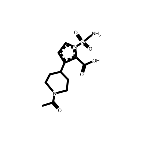 CC(=O)N1CCC(c2ccn(S(N)(=O)=O)c2C(=O)O)CC1